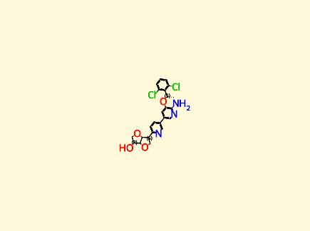 C[C@H](Oc1cc(-c2ccc([C@H]3COC4C3OC[C@H]4O)nc2)cnc1N)c1c(Cl)cccc1Cl